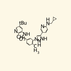 Cc1ccc(C(=O)Nc2cc(C(C)(C)C)cnc2C)cc1N1C=C(c2ccc(NCC3CC3)nc2)NN1